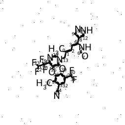 C/C(=C\C=C(/NC=O)c1cn[nH]c1)Cn1cnc(C(F)(F)C(F)F)c(Oc2cc(C(F)F)cc(C#N)c2C)c1=O